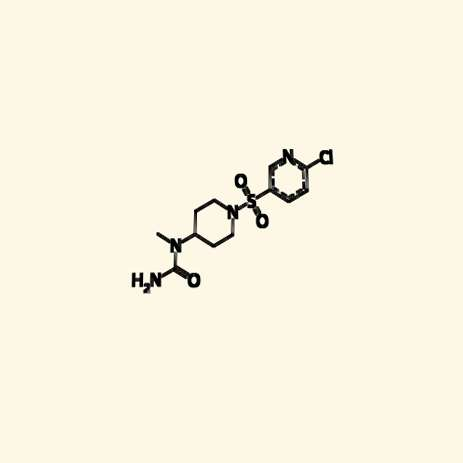 CN(C(N)=O)C1CCN(S(=O)(=O)c2ccc(Cl)nc2)CC1